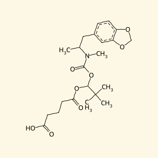 CC(Cc1ccc2c(c1)OCO2)N(C)C(=O)OC(OC(=O)CCCC(=O)O)C(C)(C)C